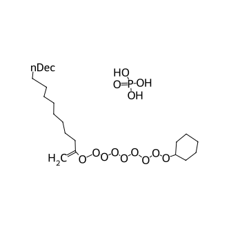 C=C(CCCCCCCCCCCCCCCCCC)OOOOOOOOOC1CCCCC1.O=P(O)(O)O